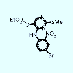 CCOC(=O)Oc1cnc(SC)nc1Nc1ccc(Br)cc1[N+](=O)[O-]